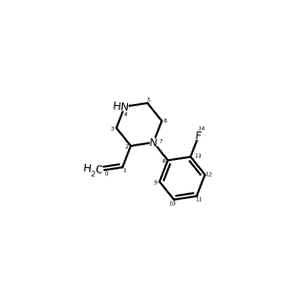 C=CC1CNCCN1c1ccccc1F